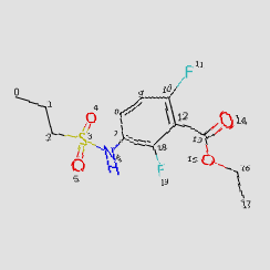 CCCS(=O)(=O)Nc1ccc(F)c(C(=O)OCC)c1F